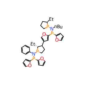 CCCCN(P(c1ccco1)c1cc(C2CCP(N(c3ccccc3)P(c3ccco3)c3ccco3)[C@@H]2CC)co1)P1CCC[C@H]1CC